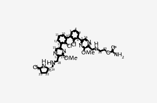 COc1nc(-c2cccc(-c3cccc(-c4cnc(CNC[C@@H]5CCC(=O)N5)c(OC)n4)c3Cl)c2Cl)cnc1CNCCOC(N)=O